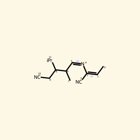 C/C=C(C#N)\N=C/C(C)C(CC#N)C(C)C